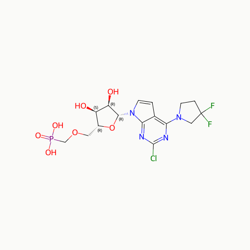 O=P(O)(O)COC[C@H]1O[C@@H](n2ccc3c(N4CCC(F)(F)C4)nc(Cl)nc32)[C@H](O)[C@@H]1O